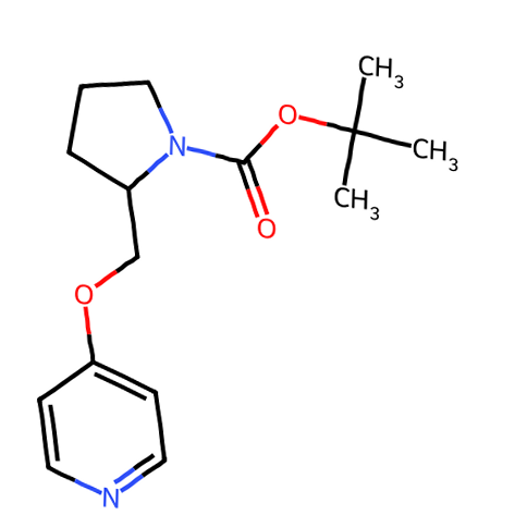 CC(C)(C)OC(=O)N1CCCC1COc1ccncc1